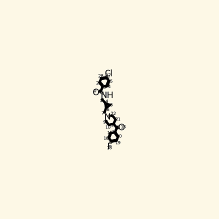 O=C(NCC1CC1CN1CCC(C(=O)c2ccc(F)cc2)CC1)c1ccc(Cl)cc1